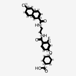 O=C(NCCNC(=O)c1ccc(O[C@H]2CC[C@@H](C(=O)O)CC2)cc1F)c1ccc2cc(Cl)ccc2c1